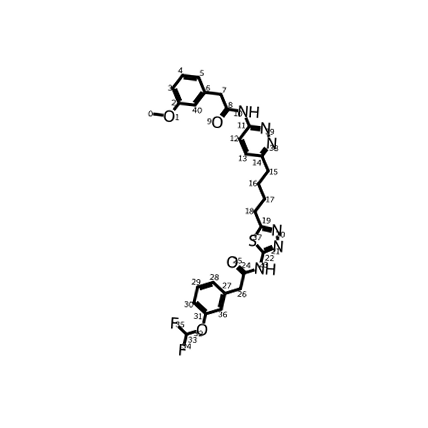 COc1cccc(CC(=O)Nc2ccc(CCCCc3nnc(NC(=O)Cc4cccc(OC(F)F)c4)s3)nn2)c1